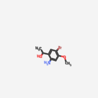 COc1cc(N)c(C(C)O)cc1Br